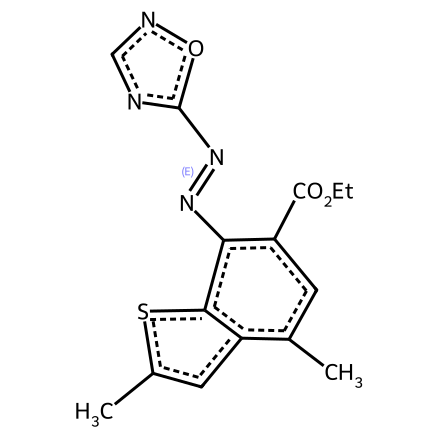 CCOC(=O)c1cc(C)c2cc(C)sc2c1/N=N/c1ncno1